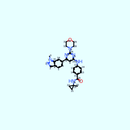 Cn1ncc2ccc(-c3cc(Nc4ccc(C(=O)NC5(C)CC5)cc4)nc(N4CCOCC4)n3)cc21